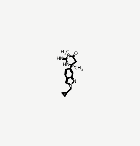 CN1C(=N)N[C@](C)(c2ccc3cn(CC4CC4)nc3c2)CC1=O